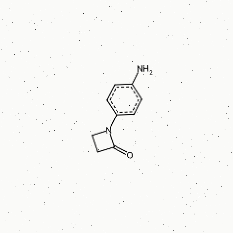 Nc1ccc(N2CCC2=O)cc1